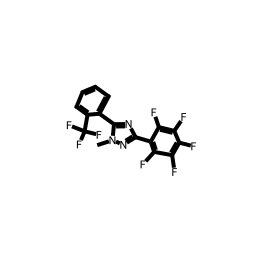 Cn1nc(-c2c(F)c(F)c(F)c(F)c2F)nc1-c1ccccc1C(F)(F)F